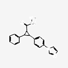 O=C(NO)C1C(c2ccccc2)C1c1ccc(-n2ccnc2)cc1